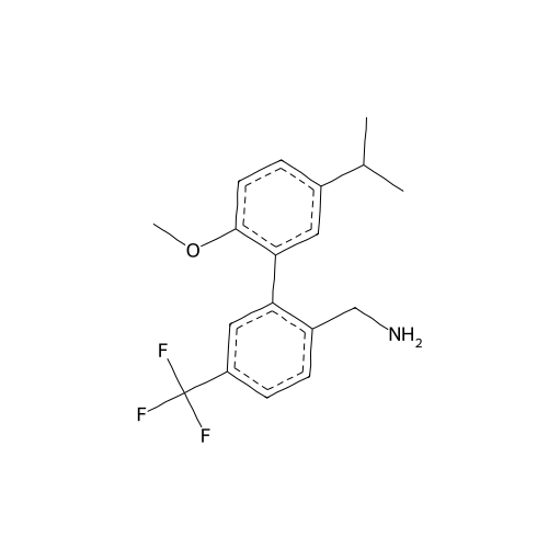 COc1ccc(C(C)C)cc1-c1cc(C(F)(F)F)ccc1CN